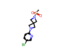 CS(=O)(=O)N1CC2(CN(c3ccc(Br)cn3)C2)C1